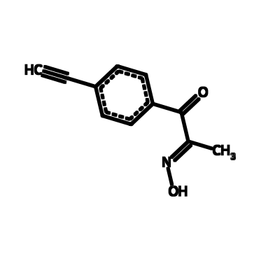 C#Cc1ccc(C(=O)C(C)=NO)cc1